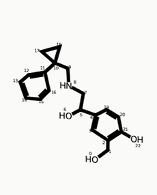 OCc1cc(C(O)CNCC2(c3ccccc3)CC2)ccc1O